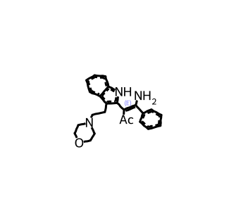 CC(=O)/C(=C(/N)c1ccccc1)c1[nH]c2ccccc2c1CCN1CCOCC1